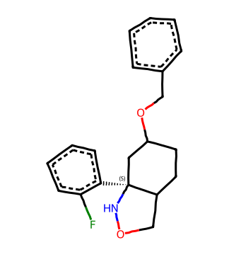 Fc1ccccc1[C@]12CC(OCc3ccccc3)CCC1CON2